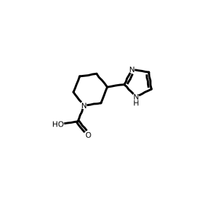 O=C(O)N1CCCC(c2ncc[nH]2)C1